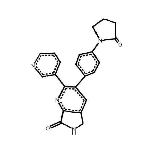 O=C1NCc2cc(-c3ccc(N4CCCC4=O)cc3)c(-c3cccnc3)nc21